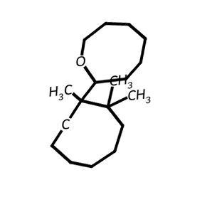 CC1(C)CCCCCCC1(C)C1CCCCCCO1